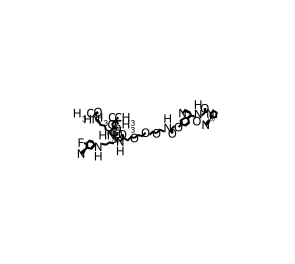 CC(=O)NCCCC[C@H](NC(=O)[C@H](CCCCNc1ccc(F)c(C#N)c1)NC(=O)CCOCCOCCOCCNC(=O)COc1ccc2c(C(=O)NCC(=O)N3CCC[C@H]3C#N)ccnc2c1)C(=O)OC(C)(C)C